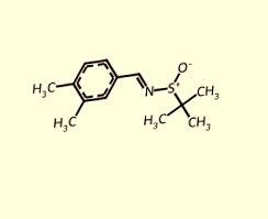 Cc1ccc(C=N[S+]([O-])C(C)(C)C)cc1C